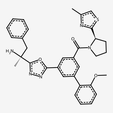 COc1ccccc1-c1cc(C(=O)N2CCC[C@@H]2c2nc(C)cs2)cc(-c2nnc([C@@](C)(N)Cc3ccccc3)o2)c1